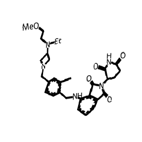 CCN(CCOC)C1CN(Cc2ccc(CNc3cccc4c3C(=O)N(C3CCC(=O)NC3=O)C4=O)c(C)c2)C1